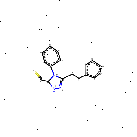 S=CC1NN=C(CCc2ccccc2)N1c1ccccc1